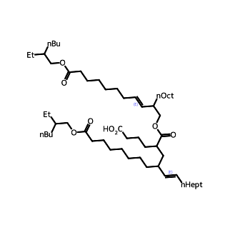 CCCCCCC/C=C/C(CCCCCCCC(=O)OCC(CC)CCCC)CC(CCCC(=O)O)C(=O)OCC(/C=C/CCCCCCC(=O)OCC(CC)CCCC)CCCCCCCC